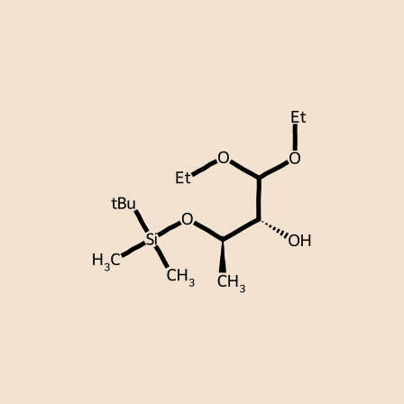 CCOC(OCC)[C@H](O)[C@@H](C)O[Si](C)(C)C(C)(C)C